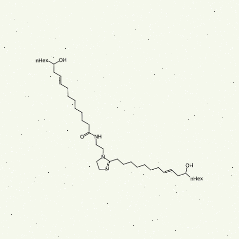 CCCCCCC(O)CC=CCCCCCCCC(=O)NCCN1CCN=C1CCCCCCCC=CCC(O)CCCCCC